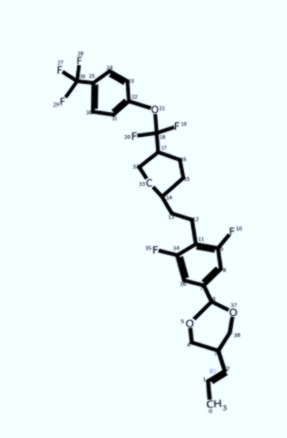 C/C=C/C1COC(c2cc(F)c(CCC3CCC(C(F)(F)Oc4ccc(C(F)(F)F)cc4)CC3)c(F)c2)OC1